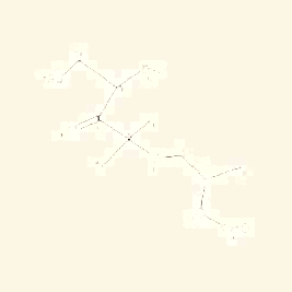 CP(COC(C)(C)C(=O)C(CC(C)(C)C)C(C)(C)C)OC=O